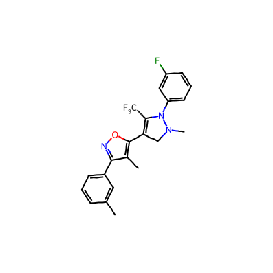 Cc1cccc(-c2noc(C3=C(C(F)(F)F)N(c4cccc(F)c4)N(C)C3)c2C)c1